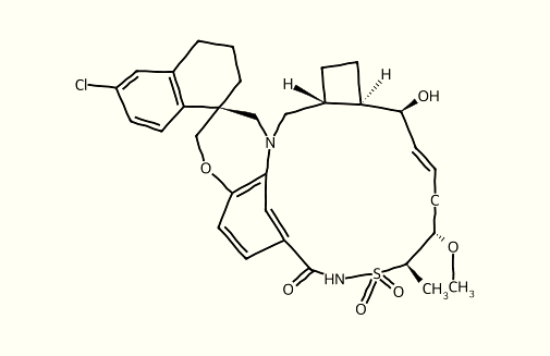 CO[C@H]1C/C=C/[C@H](O)[C@@H]2CC[C@H]2CN2C[C@@]3(CCCc4cc(Cl)ccc43)COc3ccc(cc32)C(=O)NS(=O)(=O)[C@@H]1C